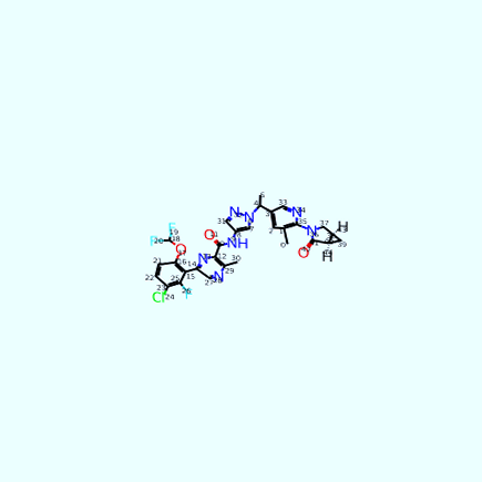 Cc1cc(C(C)n2cc(NC(=O)c3nc(-c4c(OC(F)F)ccc(Cl)c4F)cnc3C)cn2)cnc1N1C[C@H]2C[C@H]2C1=O